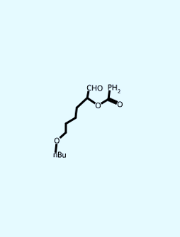 CCCCOCCCCC(C=O)OC(=O)P